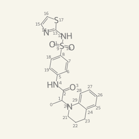 CC(C(=O)Nc1ccc(S(=O)(=O)Nc2nccs2)cc1)N1CCCc2ccccc21